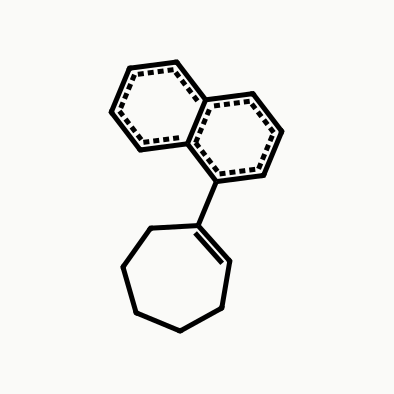 C1=C(c2cccc3ccccc23)CCCCC1